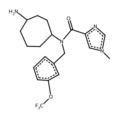 Cn1cnc(C(=O)N(Cc2cccc(OC(F)(F)F)c2)C2CCCC(N)CC2)c1